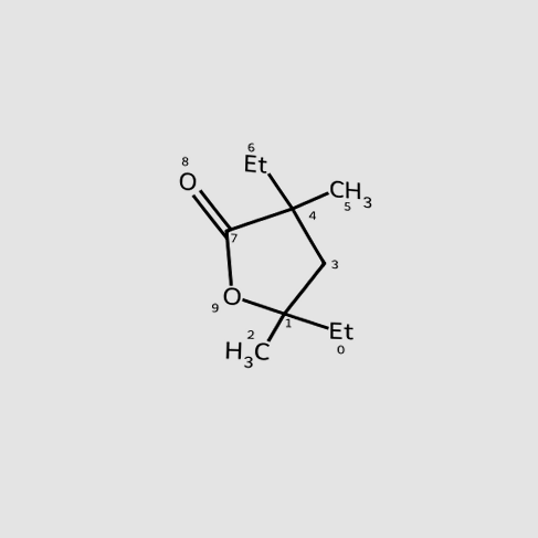 CCC1(C)CC(C)(CC)C(=O)O1